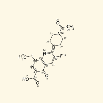 CCn1nc(C(=O)O)c(=O)c2cc(F)c(N3CCN(C(C)=O)CC3)nc21